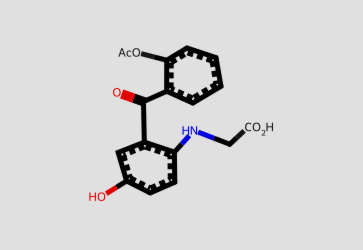 CC(=O)Oc1ccccc1C(=O)c1cc(O)ccc1NCC(=O)O